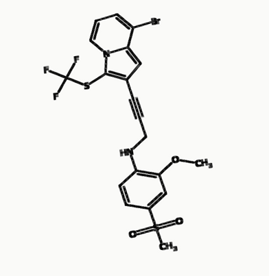 COc1cc(S(C)(=O)=O)ccc1NCC#Cc1cc2c(Br)cccn2c1SC(F)(F)F